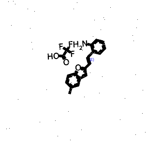 Cc1ccc2oc(/C=C/c3ccccc3N)cc2c1.O=C(O)C(F)(F)F